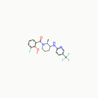 COc1c(F)cccc1C(=O)N1CCCC(Nc2ccc(C(F)(F)F)cn2)[C@@H]1C